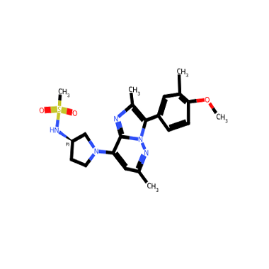 COc1ccc(-c2c(C)nc3c(N4CC[C@@H](NS(C)(=O)=O)C4)cc(C)nn23)cc1C